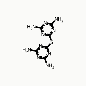 Nc1nc(N)nc(Sc2nc(N)nc(N)n2)n1